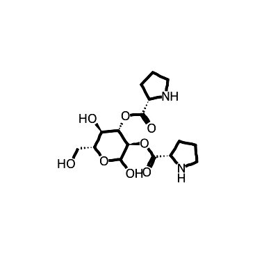 O=C(O[C@H]1[C@H](O)[C@@H](CO)OC(O)[C@@H]1OC(=O)[C@@H]1CCCN1)[C@@H]1CCCN1